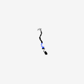 C=C=NCCCCCC